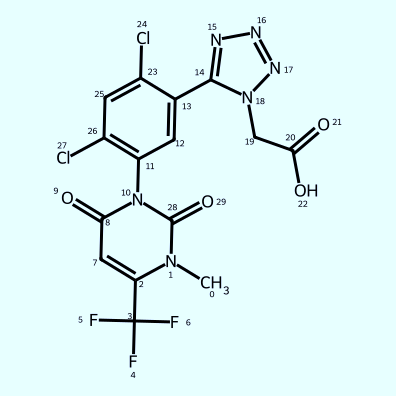 Cn1c(C(F)(F)F)cc(=O)n(-c2cc(-c3nnnn3CC(=O)O)c(Cl)cc2Cl)c1=O